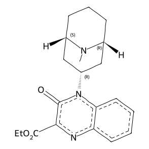 CCOC(=O)c1nc2ccccc2n([C@H]2C[C@H]3CCC[C@@H](C2)N3C)c1=O